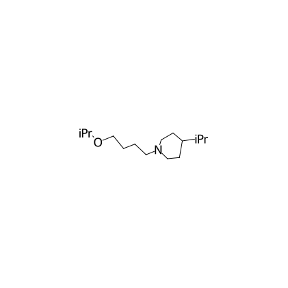 CC(C)OCCCCN1CCC(C(C)C)CC1